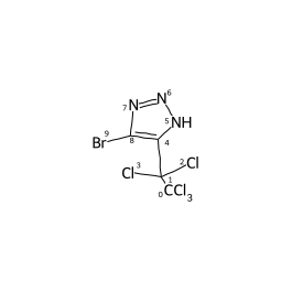 ClC(Cl)(Cl)C(Cl)(Cl)c1[nH]nnc1Br